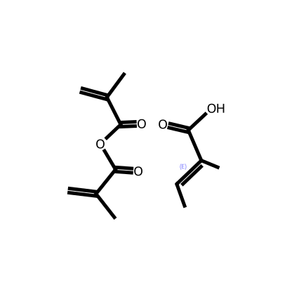 C/C=C(\C)C(=O)O.C=C(C)C(=O)OC(=O)C(=C)C